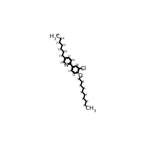 CCCCCCCCCCOc1ccc(-c2ccc(CCCCCCC)cn2)cc1Cl